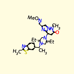 CC[C@H]1CN(C(C)c2ccc3nc(C)sc3c2)[C@H](CC)CN1c1cc(=O)n(C)n2cc(C=NOC)nc12